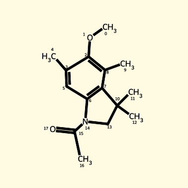 COc1c(C)cc2c(c1C)C(C)(C)CN2C(C)=O